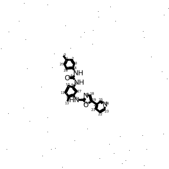 Cc1ccc(NC(=O)Nc2ccc(C)c(Nc3ncc(-c4cccnc4)o3)c2)cc1